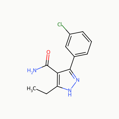 CCc1[nH]nc(-c2cccc(Cl)c2)c1C(N)=O